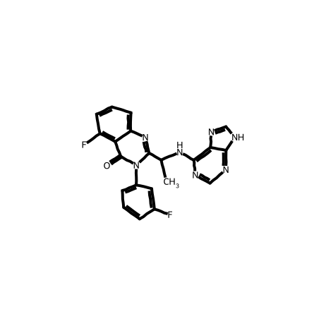 CC(Nc1ncnc2[nH]cnc12)c1nc2cccc(F)c2c(=O)n1-c1cccc(F)c1